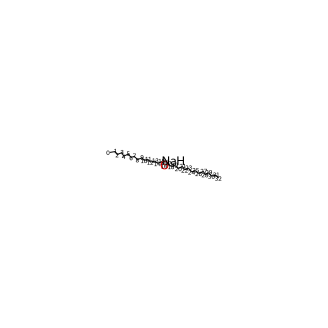 CCCCCCCCCCCCCCCCOCCCCCCCCCCCCCCCC.[NaH]